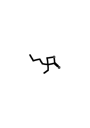 CCCCC1(CC)COC1=O